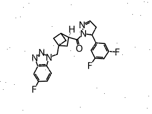 O=C([C@H]1CC2(Cn3nnc4cc(F)ccc43)CC1C2)N1N=CCC1c1cc(F)cc(F)c1